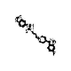 Fc1ccc2c(C3CCN(CCCOC(=S)Nc4ccc5ncsc5c4)CC3)noc2c1